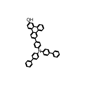 Oc1ccc2c3ccc(-c4ccc(N(c5ccc(-c6ccccc6)cc5)c5ccc(-c6ccccc6)cc5)cc4)cc3c3ccccc3c2c1